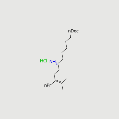 CCCCCCCCCCCCCCCCCCC(CCC)=C(C)C.Cl.N